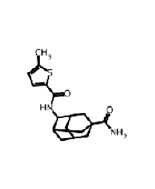 Cc1ccc(C(=O)NC2C3CC4CC2CC(C(N)=O)(C4)C3)s1